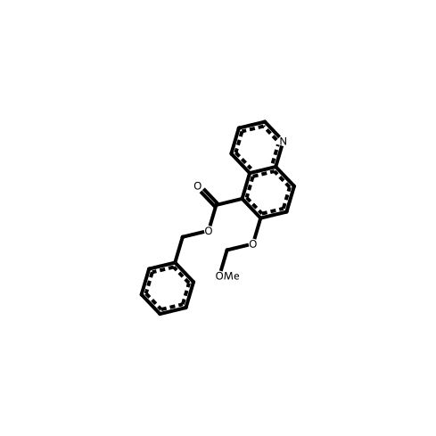 COCOc1ccc2ncccc2c1C(=O)OCc1ccccc1